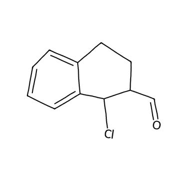 O=CC1CCc2ccccc2C1Cl